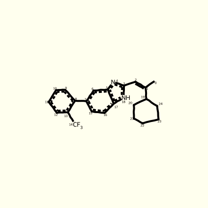 CC(=Cc1nc2cc(-c3ccccc3C(F)(F)F)ccc2[nH]1)C1CCCCC1